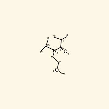 COCCN(C(=O)C(C)C)C(C)C